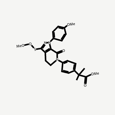 COOSc1nn(-c2ccc(OC)cc2)c2c1CCN(c1ccc(C(C)(C)C(=O)OC)cc1)C2=O